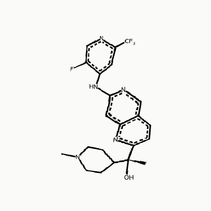 CN1CCC([C@@](C)(O)c2ccc3cnc(Nc4cc(C(F)(F)F)ncc4F)cc3n2)CC1